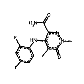 Cc1c(Nc2ccc(I)cc2F)c(C(N)=O)nn(C)c1=O